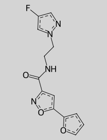 O=C(NCCn1cc(F)cn1)c1cc(-c2ccco2)on1